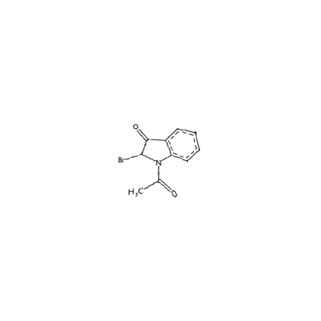 CC(=O)N1c2ccccc2C(=O)C1Br